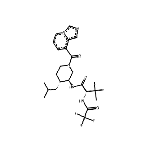 CC(C)C[C@@H]1CCN(C(=O)c2cccn3cncc23)C[C@H]1NC(=O)[C@@H](NC(=O)C(F)(F)F)C(C)(C)C